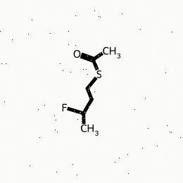 CC(=O)SCCC(C)F